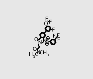 CN(C)C(=O)CCN1CN(S(=O)(=O)c2cccc(C(F)(F)F)c2)c2cc(-c3cc(F)cc(OC(F)F)c3)ccc2C1=O